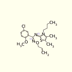 C=CCO/N=C(\N=c1/sc(C)c(C)n1CCCC)c1cc(Cl)ccc1OC